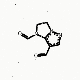 O=Cc1cnn2c1N(C=O)CC2